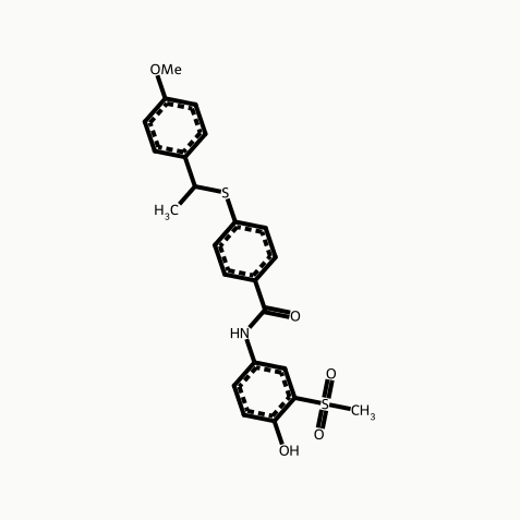 COc1ccc(C(C)Sc2ccc(C(=O)Nc3ccc(O)c(S(C)(=O)=O)c3)cc2)cc1